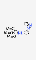 COc1cc(CNc2cccc(-n3cnc4ccccc43)c2)cc(OC)c1OC